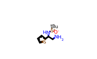 CC(C)(C)[S+]([O-])NC(CN)c1cccs1